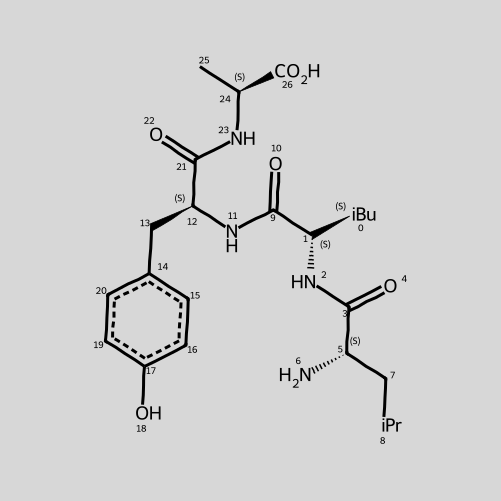 CC[C@H](C)[C@H](NC(=O)[C@@H](N)CC(C)C)C(=O)N[C@@H](Cc1ccc(O)cc1)C(=O)N[C@@H](C)C(=O)O